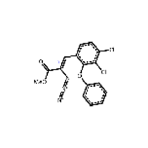 COC(=O)/C(=C/c1ccc(Cl)c(Cl)c1Oc1ccccc1)N=[N+]=[N-]